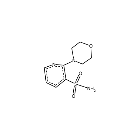 NS(=O)(=O)c1cccnc1N1CCOCC1